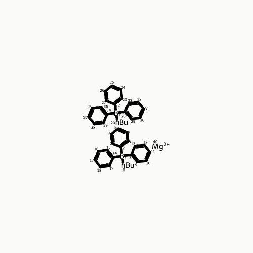 CCCC[B-](c1ccccc1)(c1ccccc1)c1ccccc1.CCCC[B-](c1ccccc1)(c1ccccc1)c1ccccc1.[Mg+2]